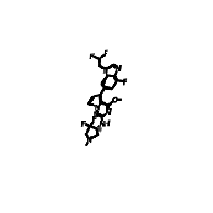 COc1nc(N[C@@H]2CN(C)CC2(F)F)nn2ccc(-c3cc(F)c4ncn(CC(F)F)c4c3)c12